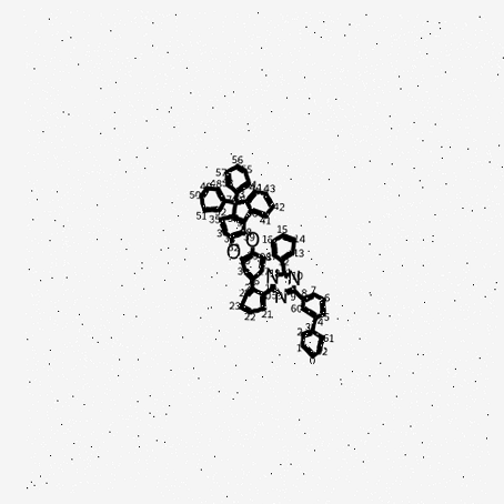 c1ccc(-c2cccc(-c3nc(-c4ccccc4)nc(-c4ccccc4-c4ccc5c(c4)Oc4ccc6c(c4O5)-c4ccccc4C6(c4ccccc4)c4ccccc4)n3)c2)cc1